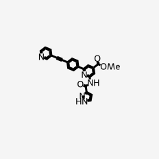 COC(=O)c1cc(NC(=O)c2cc[nH]n2)nc(-c2ccc(C#Cc3cccnc3)cc2)c1